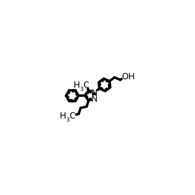 CCCCc1nn(-c2ccc(CCO)cc2)c(C)c1-c1ccccc1